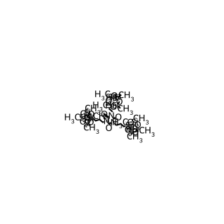 C[SiH]1O[SiH](C)O[Si](C)(CCCn2c(=O)n(CCC[Si]3(C)O[SiH](C)O[SiH](C)O[SiH](C)O3)c(=O)n(CC[Si]3(C)O[SiH](C)O[SiH](C)O[SiH](C)O3)c2=O)O[SiH](C)O1